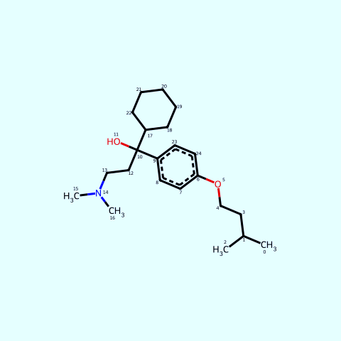 CC(C)CCOc1ccc(C(O)(CCN(C)C)C2CCCCC2)cc1